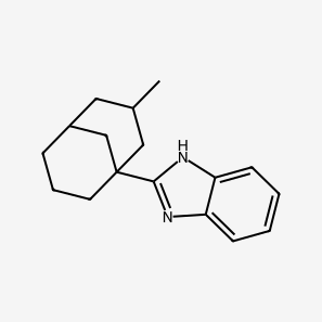 CC1CC2CCCC(c3nc4ccccc4[nH]3)(C1)C2